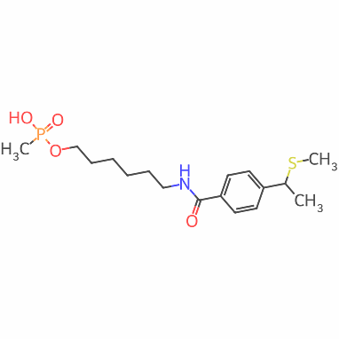 CSC(C)c1ccc(C(=O)NCCCCCCOP(C)(=O)O)cc1